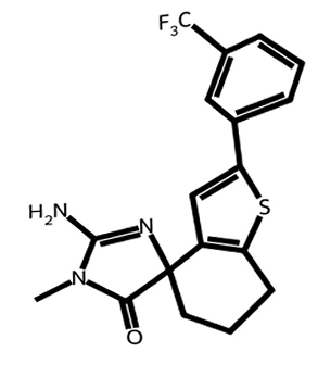 CN1C(=O)C2(CCCc3sc(-c4cccc(C(F)(F)F)c4)cc32)N=C1N